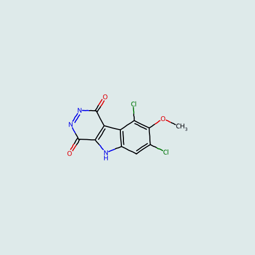 COc1c(Cl)cc2[nH]c3c(c2c1Cl)C(=O)N=NC3=O